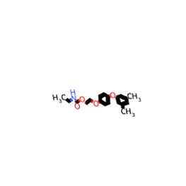 CCNC(=O)OCCOc1ccc(Oc2cc(C)cc(C)c2)cc1